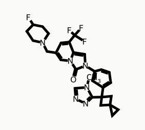 Cn1cnnc1C1(c2cccc(-n3cc4c(C(F)(F)F)cc(CN5CCC(F)CC5)cn4c3=O)c2)CC2(CC2)C1